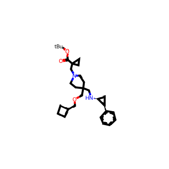 CC(C)(C)OC(=O)C1(CN2CCC(CN[C@@H]3C[C@H]3c3ccccc3)(COCC3CCC3)CC2)CC1